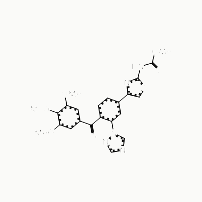 COC(=O)Nc1nc(-c2ccc(C(=O)c3cc(OC)c(OC)c(OC)c3)c(-n3cncn3)c2)cs1